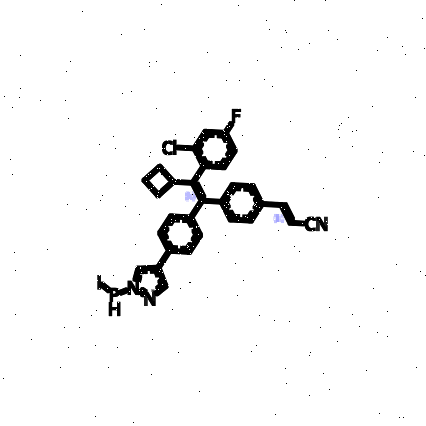 N#C/C=C/c1ccc(/C(=C(\c2ccc(F)cc2Cl)C2CCC2)c2ccc(-c3cnn(PI)c3)cc2)cc1